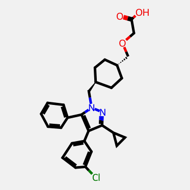 O=C(O)COC[C@H]1CC[C@H](Cn2nc(C3CC3)c(-c3cccc(Cl)c3)c2-c2ccccc2)CC1